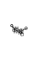 COCCCNc1nc(Cl)nc(NCCOC(=O)NCc2ccccc2)n1